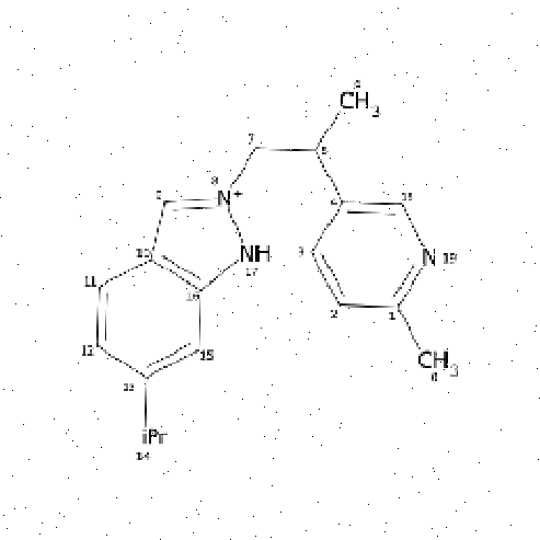 Cc1ccc(C(C)C[n+]2cc3ccc(C(C)C)cc3[nH]2)cn1